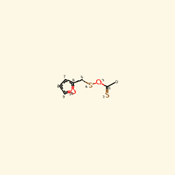 CC(=S)OSCc1ccco1